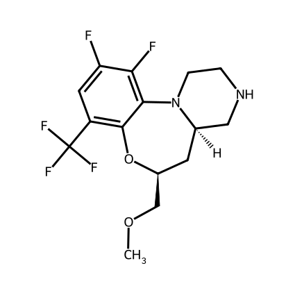 COC[C@@H]1C[C@@H]2CNCCN2c2c(F)c(F)cc(C(F)(F)F)c2O1